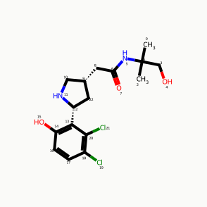 CC(C)(CO)NC(=O)C[C@H]1CN[C@@H](c2c(O)ccc(Cl)c2Cl)C1